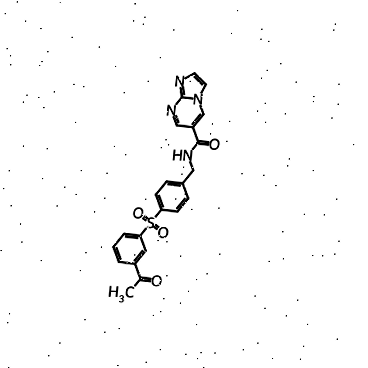 CC(=O)c1cccc(S(=O)(=O)c2ccc(CNC(=O)c3cnc4nccn4c3)cc2)c1